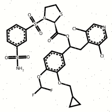 NS(=O)(=O)c1cccc(S(=O)(=O)N2CCS[C@H]2C(=O)OC(Cc2c(Cl)cncc2Cl)c2ccc(OC(F)F)c(OCC3CC3)c2)c1